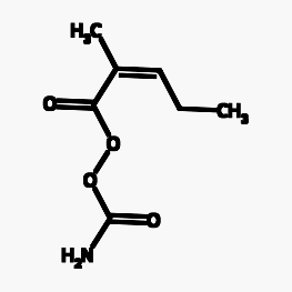 CCC=C(C)C(=O)OOC(N)=O